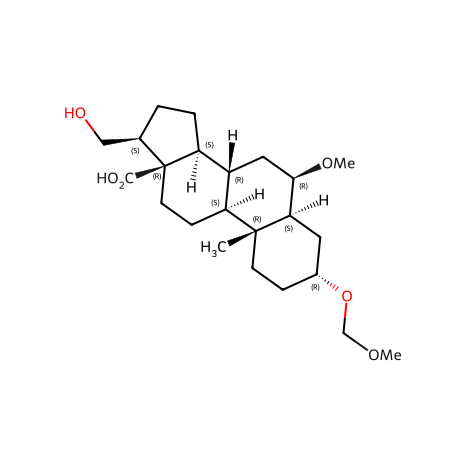 COCO[C@@H]1CC[C@@]2(C)[C@H](C1)[C@H](OC)C[C@@H]1[C@@H]2CC[C@]2(C(=O)O)[C@@H](CO)CC[C@@H]12